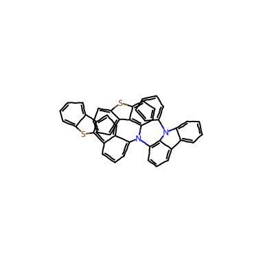 c1ccc(-n2c3ccccc3c3cccc(N(c4cccc5c4ccc4c6ccccc6sc54)c4cccc5sc6ccccc6c45)c32)cc1